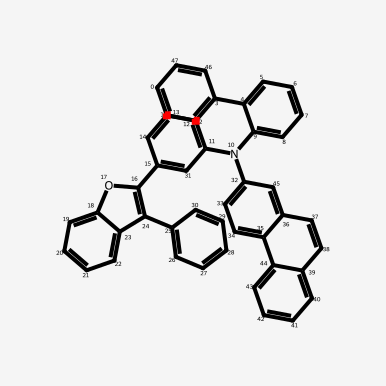 c1ccc(-c2ccccc2N(c2cccc(-c3oc4ccccc4c3-c3ccccc3)c2)c2ccc3c(ccc4ccccc43)c2)cc1